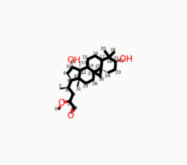 COC(C=O)C[C@@H](C)[C@H]1C[C@H](O)[C@@]2(C)C3CCC4C(C)(C)[C@@H](O)CC[C@@]45CC35CC[C@]12C